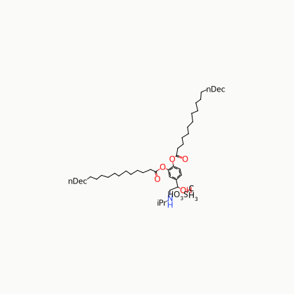 CCCCCCCCCCCCCCCCCCCCCC(=O)Oc1ccc(C(O)CNC(C)C)cc1OC(=O)CCCCCCCCCCCCCCCCCCCCC.CS(=O)(=O)O